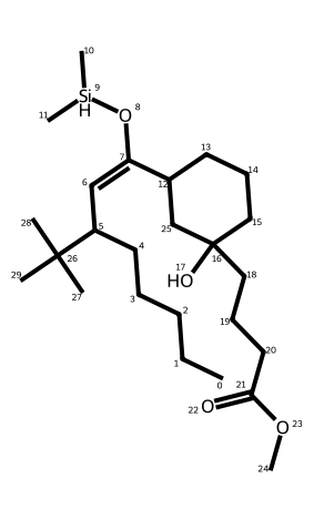 CCCCCC(/C=C(/O[SiH](C)C)C1CCCC(O)(CCCC(=O)OC)C1)C(C)(C)C